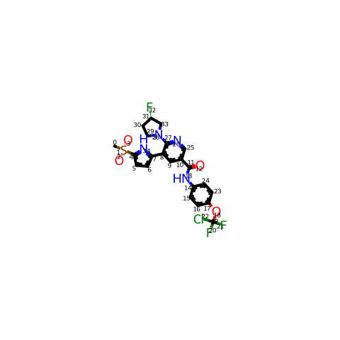 CS(=O)(=O)c1ccc(-c2cc(C(=O)Nc3ccc(OC(F)(F)Cl)cc3)cnc2N2CC[C@H](F)C2)[nH]1